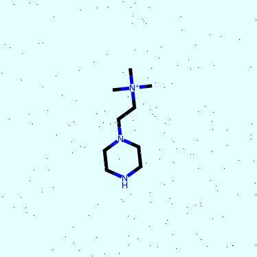 C[N+](C)(C)CCN1CCNCC1